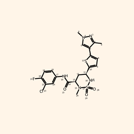 Cc1nn(C)cc1-c1ccc([C@@H]2C[C@H](C(=O)Nc3ccc(F)c(Cl)c3)N(C)S(=O)(=O)N2)s1